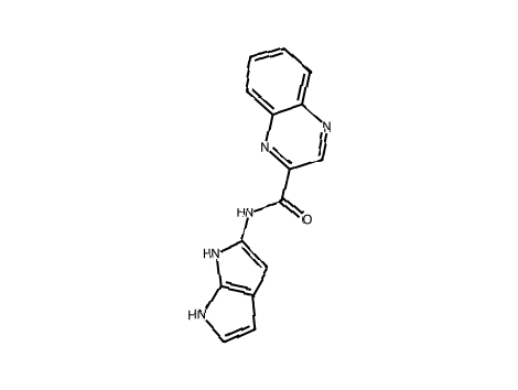 O=C(Nc1cc2cc[nH]c2[nH]1)c1cnc2ccccc2n1